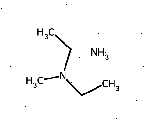 CCN(C)CC.N